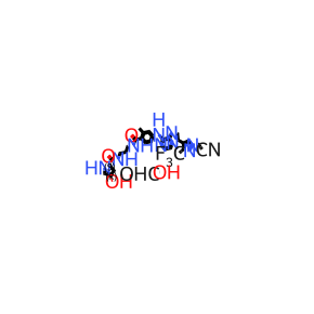 Cc1cc(Nc2nccn3c(-c4cn(CC#N)nc4C(F)(F)F)cnc23)ccc1C(=O)NCCCNC(=O)[C@@H]1C[C@@H](O)CN1.O=CO